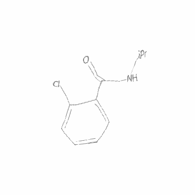 CC(C)NC(=O)c1ccccc1Cl